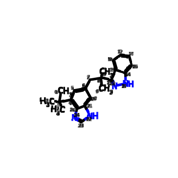 CC(C)(C)c1cc(CC(C)(C)c2n[nH]c3ccccc23)cc2[nH]cnc12